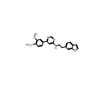 CCOc1cc(-c2cc(NCCc3ccc4ccoc4c3)ncn2)ccc1C(=O)O